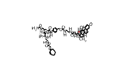 CC(C)[C@H](NCCNOC(=O)COC1C#CCCCCC1)C(=O)N[C@@H](CCCNC(N)=O)C(=O)Nc1ccc(COC(=O)NCCNC(=O)OCC(=O)[C@@]2(O)[C@H](C)C[C@H]3[C@@H]4CCC5=CC(=O)C=C[C@]5(C)[C@@]4(F)[C@@H](O)C[C@@]32C)cc1